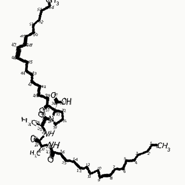 CCCCCCCC/C=C\CCCCCCCC(=O)N[C@@H](C)C(=O)N[C@@H](C)C(=O)N1CCC[C@]1(C(=O)O)C(=O)CCCCCCC/C=C\CCCCCCCC